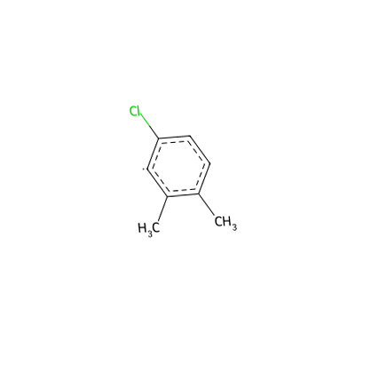 Cc1[c]c(Cl)ccc1C